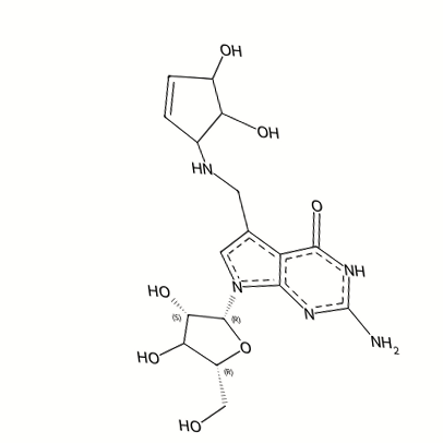 Nc1nc2c(c(CNC3C=CC(O)C3O)cn2[C@@H]2O[C@H](CO)C(O)[C@@H]2O)c(=O)[nH]1